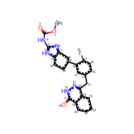 CCCOC(=O)Nc1nc2cc(-c3cc(Cc4n[nH]c(=O)c5ccccc45)ccc3F)ccc2[nH]1